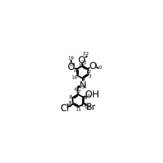 COc1cc(/N=C/c2cc(Cl)cc(Br)c2O)cc(OC)c1OC